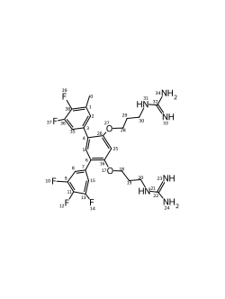 Cc1cc(-c2cc(-c3cc(F)c(F)c(F)c3)c(OCCCNC(=N)N)cc2OCCCNC(=N)N)cc(F)c1F